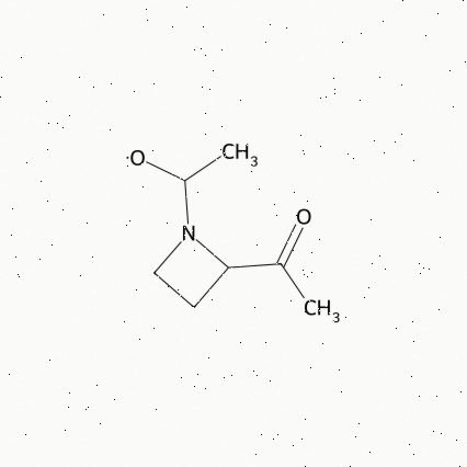 CC(=O)C1CCN1C(C)[O]